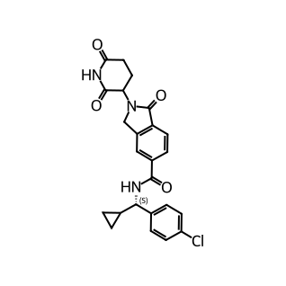 O=C1CCC(N2Cc3cc(C(=O)N[C@H](c4ccc(Cl)cc4)C4CC4)ccc3C2=O)C(=O)N1